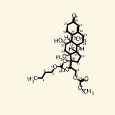 CCCCOC(=O)O[C@]1(C(=O)COC(=O)OC)CC[C@H]2[C@@H]3CCC4=CC(=O)CC[C@]4(C)[C@H]3[C@@H](O)C[C@@]21C